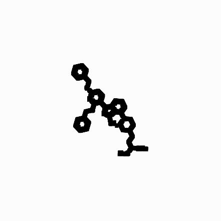 COC(CCC1CCN(c2cccc3c(-c4ccc(OCc5ccccc5)nc4OCc4ccccc4)nn(C)c23)CC1)OC